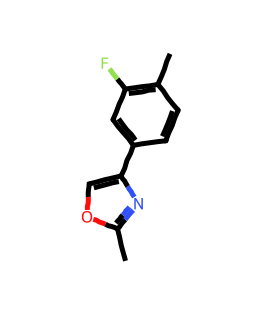 Cc1nc(-c2ccc(C)c(F)c2)co1